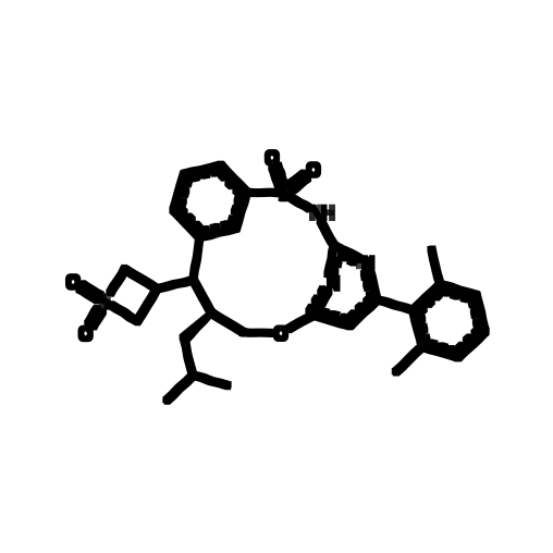 Cc1cccc(C)c1-c1cc2nc(n1)NS(=O)(=O)c1cccc(c1)C(C1CS(=O)(=O)C1)[C@H](CC(C)C)CO2